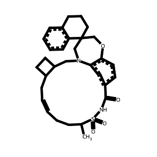 CC1CCC=CCC2CCC2CN2CC3(CCCc4ccccc43)COc3ccc(cc32)C(=O)NS1(=O)=O